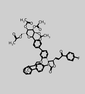 CCCCOc1cc(-c2ccc(C3O[C@H](COC(C)=O)[C@@H](OC(C)=O)[C@H](OC(C)=O)[C@H]3OC(C)=O)cc2)ccc1[C@@H]1[C@@H](/C=C/C(=O)c2ccc(F)cc2)OC(=O)N1c1ccc(-c2ccccc2)cc1